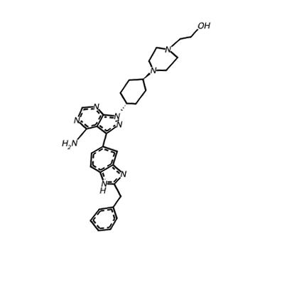 Nc1ncnc2c1c(-c1ccc3[nH]c(Cc4ccccc4)nc3c1)nn2[C@H]1CC[C@H](N2CCN(CCO)CC2)CC1